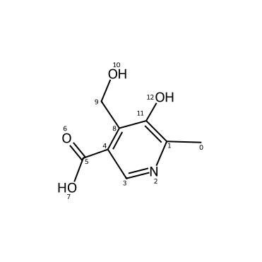 Cc1ncc(C(=O)O)c(CO)c1O